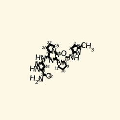 Cn1ccc(NC(=O)[C@@H]2CCCN2c2nc(Nc3cc(C(N)=O)[nH]n3)c3cccn3n2)n1